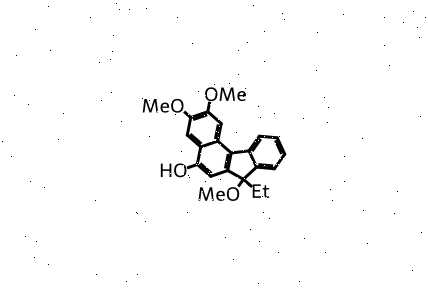 CCC1(OC)c2ccccc2-c2c1cc(O)c1cc(OC)c(OC)cc21